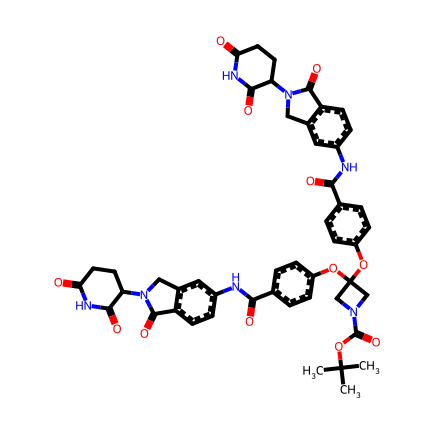 CC(C)(C)OC(=O)N1CC(Oc2ccc(C(=O)Nc3ccc4c(c3)CN(C3CCC(=O)NC3=O)C4=O)cc2)(Oc2ccc(C(=O)Nc3ccc4c(c3)CN(C3CCC(=O)NC3=O)C4=O)cc2)C1